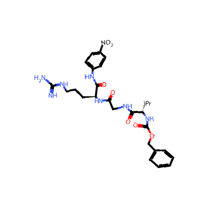 CC(C)[C@H](NC(=O)OCc1ccccc1)C(=O)NCC(=O)N[C@@H](CCCNC(=N)N)C(=O)Nc1ccc([N+](=O)[O-])cc1